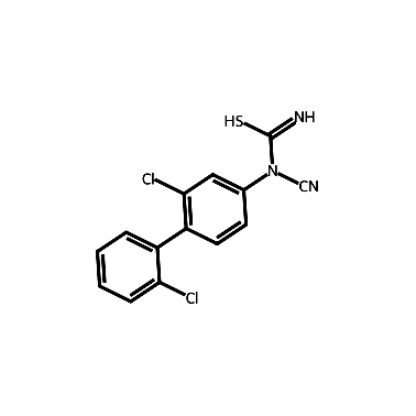 N#CN(C(=N)S)c1ccc(-c2ccccc2Cl)c(Cl)c1